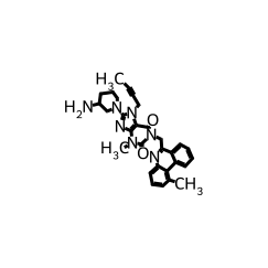 CC#CCn1c(N2CCCC(N)C2)nc2c1c(=O)n(Cc1nc3cccc(C)c3c3ccccc13)c(=O)n2C